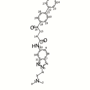 CN(C)CCn1cc2ccc(NC(=O)CCC(=O)c3ccc(-c4ccccc4)cc3)cc2n1